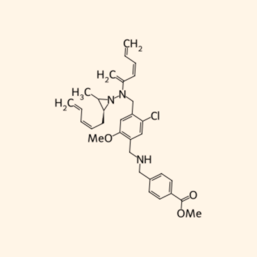 C=C/C=C\C[C@H]1C(C)N1N(Cc1cc(OC)c(CNCc2ccc(C(=O)OC)cc2)cc1Cl)C(=C)/C=C\C=C